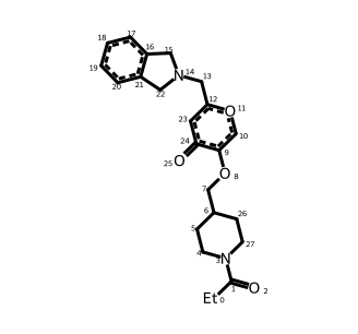 CCC(=O)N1CCC(COc2coc(CN3Cc4ccccc4C3)cc2=O)CC1